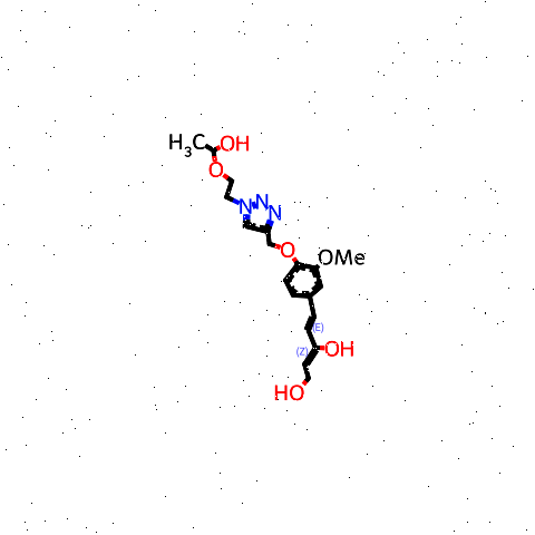 COc1cc(/C=C/C(O)=C/CO)ccc1OCc1cn(CCOC(C)O)nn1